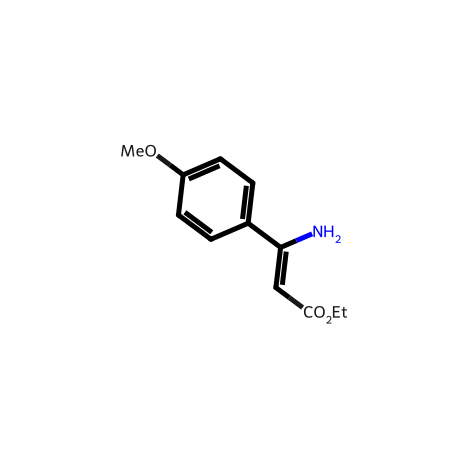 CCOC(=O)C=C(N)c1ccc(OC)cc1